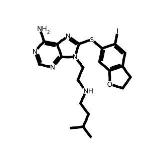 CC(C)CCNCCn1c(Sc2cc3c(cc2I)CCO3)nc2c(N)ncnc21